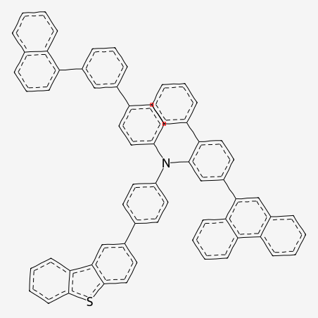 c1ccc(-c2ccc(-c3cc4ccccc4c4ccccc34)cc2N(c2ccc(-c3cccc(-c4cccc5ccccc45)c3)cc2)c2ccc(-c3ccc4sc5ccccc5c4c3)cc2)cc1